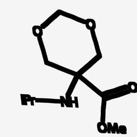 COC(=O)C1(NC(C)C)COCOC1